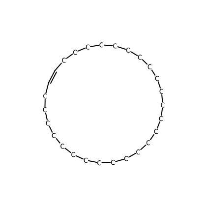 C1=CCCCCCCCCCCCCCCCCCCCCCCCCC1